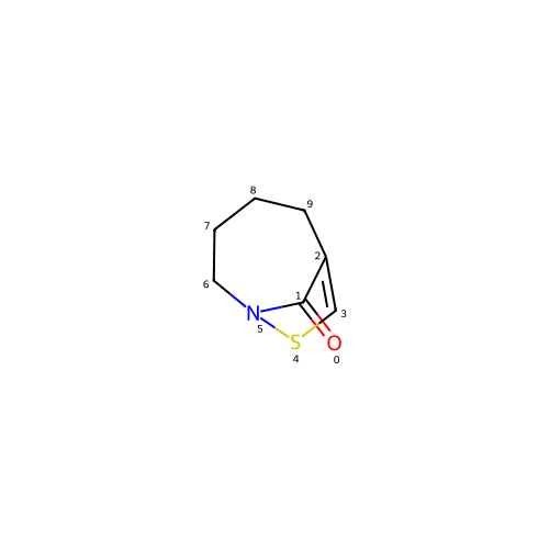 O=c1c2csn1CCCC2